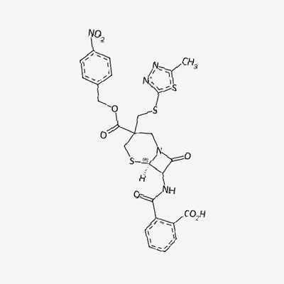 Cc1nnc(SCC2(C(=O)OCc3ccc([N+](=O)[O-])cc3)CS[C@@H]3C(NC(=O)c4ccccc4C(=O)O)C(=O)N3C2)s1